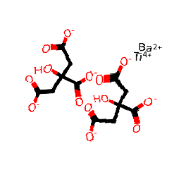 O=C([O-])CC(O)(CC(=O)[O-])C(=O)[O-].O=C([O-])CC(O)(CC(=O)[O-])C(=O)[O-].[Ba+2].[Ti+4]